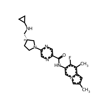 Cc1cc2c(C)c(F)c(NC(=O)c3cnc(N4CC[C@H](CNC5CC5)C4)cn3)cn2c1